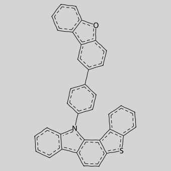 c1ccc2c(c1)oc1ccc(-c3ccc(-n4c5ccccc5c5ccc6sc7ccccc7c6c54)cc3)cc12